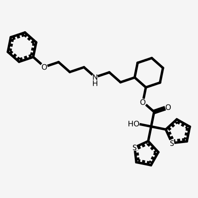 O=C(OC1CCCCC1CCNCCCOc1ccccc1)C(O)(c1cccs1)c1cccs1